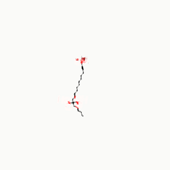 CCC/C=C/CC(C/C=C/CCCCCCCC#CC(OC)OC)(C(=O)O)C(=O)O